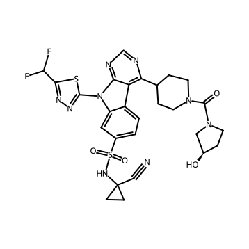 N#CC1(NS(=O)(=O)c2ccc3c4c(C5CCN(C(=O)N6CC[C@@H](O)C6)CC5)ncnc4n(-c4nnc(C(F)F)s4)c3c2)CC1